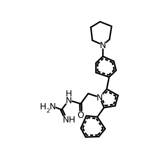 N=C(N)NC(=O)Cn1c(-c2ccccc2)ccc1-c1ccc(N2CCCCC2)cc1